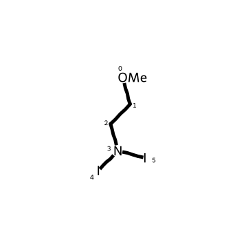 COCCN(I)I